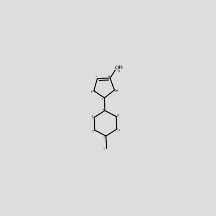 CC1CCC(C2CC=C(O)C2)CC1